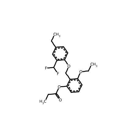 CCOc1cccc(OC(=O)CC)c1COc1ccc(CC)cc1C(F)F